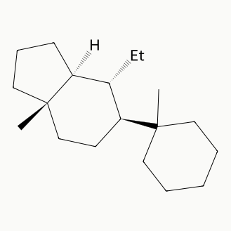 CC[C@@H]1[C@@H](C2(C)CCCCC2)CC[C@]2(C)CCC[C@@H]12